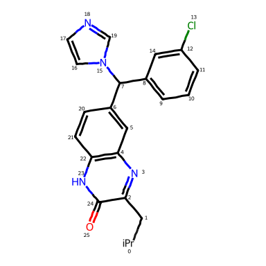 CC(C)Cc1nc2cc(C(c3cccc(Cl)c3)n3ccnc3)ccc2[nH]c1=O